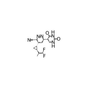 CC(=C(F)F)[C@H]1C[C@@H]1c1cc(-c2c[nH]c(=O)[nH]c2=O)nnc1C#N